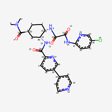 CN(C)C(=O)[C@H]1CC[C@H](NC(=O)C(=O)Nc2ccc(Cl)cn2)[C@H](NC(=O)c2ccc(-c3ccncc3)cn2)C1